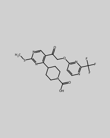 CSc1ncc(C(=O)COc2ccnc(C(F)(F)F)n2)c(C2CCN(C(=O)O)CC2)n1